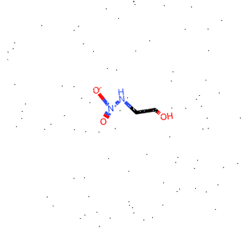 O=[N+]([O-])NCCO